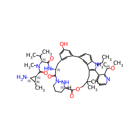 CCn1c(-c2cccnc2[C@H](C)OC)c2c3cc(ccc31)-c1cc(O)cc(c1)C[C@H](NC(=O)[C@H](C(C)C)N(C)C(=O)[C@H]1[C@@H](C)[C@@H]1N)C(=O)N1CCC[C@H](N1)C(=O)OCC(C)(C)C2